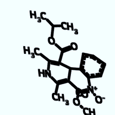 COC(=O)C1=C(C)NC(C)=C(C(=O)OC(C)C)C1c1ccccc1[N+](=O)[O-]